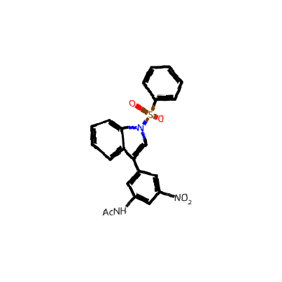 CC(=O)Nc1cc(-c2cn(S(=O)(=O)c3ccccc3)c3ccccc23)cc([N+](=O)[O-])c1